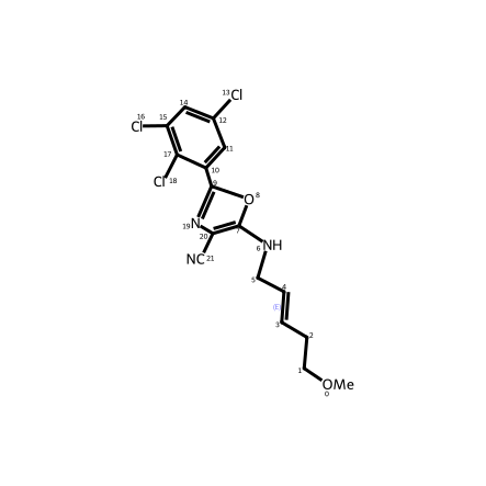 COCC/C=C/CNc1oc(-c2cc(Cl)cc(Cl)c2Cl)nc1C#N